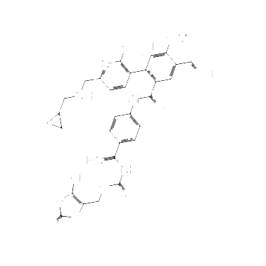 C=Cc1cc(C(=O)Nc2ccc(C(=N)NC(=O)OCc3oc(=O)oc3C)cc2)c(-c2ccc(CNCC3CC3)nc2C(=O)O)cc1OC